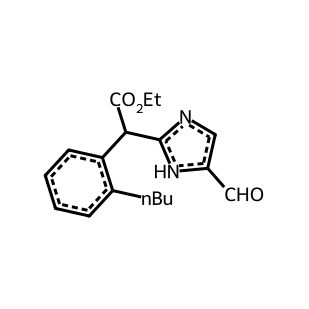 CCCCc1ccccc1C(C(=O)OCC)c1ncc(C=O)[nH]1